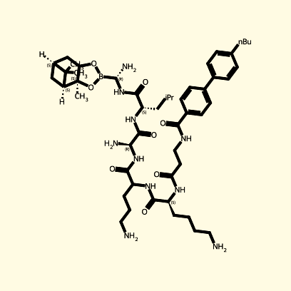 CCCCc1ccc(-c2ccc(C(=O)NCCC(=O)N[C@@H](CCCCN)C(=O)NC(CCCN)C(=O)N[C@@H](N)C(=O)N[C@@H](CC(C)C)C(=O)N[C@@H](N)B3OC4C[C@@H]5C[C@@H](C5(C)C)[C@]4(C)O3)cc2)cc1